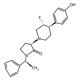 C[C@@H](c1ccccc1)N1CC[C@@H](N2CC[C@H](c3ccc(O)cc3)[C@@H](F)C2)C1=O